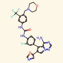 Nc1ncnn2cc(-c3cnco3)c(-c3ccc(NC(=O)Nc4ccc(CN5CCOCC5)c(C(F)(F)F)c4)c(F)c3)c12